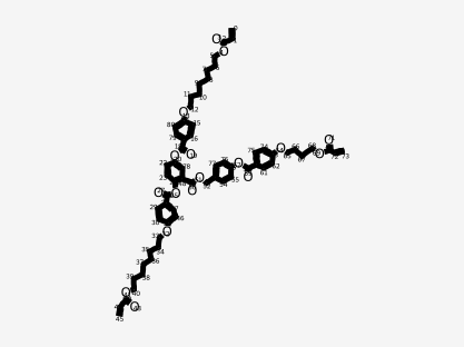 C=CC(=O)OCCCCCCCCOc1ccc(C(=O)Oc2ccc(OC(=O)c3ccc(OCCCCCCCCOC(=O)C=C)cc3)c(C(=O)OCc3ccc(OC(=O)c4ccc(OCCCCOC(=O)C=C)cc4)cc3)c2)cc1